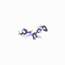 Cc1ncc(NC(=O)c2ccnc(C(F)(F)P)c2)cc1-c1cnc(-n2ccccc2=O)c(C#N)c1